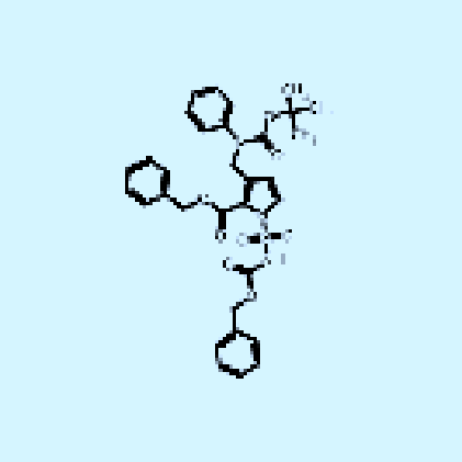 CC(C)(C)OC(=O)N(Cc1ccn(S(=O)(=O)NC(=O)OCc2ccccc2)c1C(=O)OCc1ccccc1)c1ccccc1